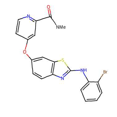 CNC(=O)c1cc(Oc2ccc3nc(Nc4ccccc4Br)sc3c2)ccn1